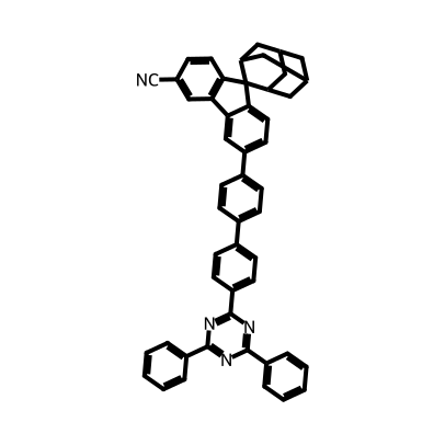 N#Cc1ccc2c(c1)-c1cc(-c3ccc(-c4ccc(-c5nc(-c6ccccc6)nc(-c6ccccc6)n5)cc4)cc3)ccc1C21C2CC3CC(C2)CC1C3